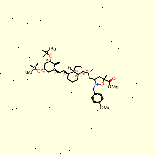 C=C1/C(=C\C=C2/CCC[C@]3(C)[C@@H]([C@H](C)CC4CC(C)(C(=O)OC)ON4Cc4ccc(OC)cc4)CC[C@@H]23)C[C@@H](O[Si](C)(C)C(C)(C)C)C[C@@H]1O[Si](C)(C)C(C)(C)C